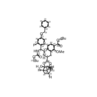 COc1c(CC(NC(=O)C(NC(=O)OC(C)(C)C)c2ncc(OCc3ccccc3)cc2F)B2O[C@@H]3C[C@@H]4C[C@@H](C4(C)C)[C@]3(C)O2)cccc1C(=O)OC(C)(C)C